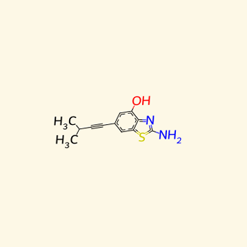 CC(C)C#Cc1cc(O)c2nc(N)sc2c1